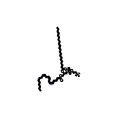 CCCCC/C=C\C/C=C\C/C=C\C/C=C\CCCC(=O)OC[C@H](COP(=O)([O-])OCC[N+](C)(C)C)OC(=O)CCCCCCCCCCCCCCCCCCCCC